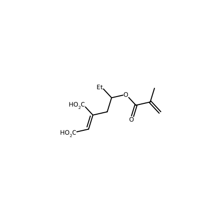 C=C(C)C(=O)OC(CC)CC(=CC(=O)O)C(=O)O